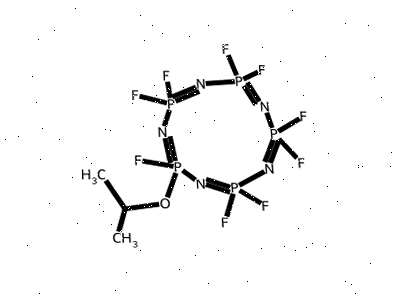 CC(C)OP1(F)=NP(F)(F)=NP(F)(F)=NP(F)(F)=NP(F)(F)=N1